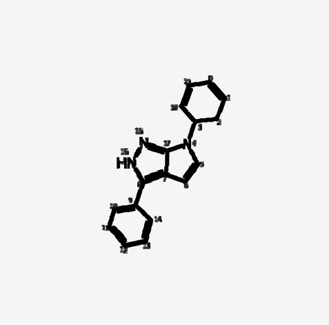 C1=CCC(n2ccc3c(-c4ccccc4)[nH]nc32)C=C1